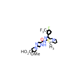 COC1(C(=O)O)CCN(c2cnc(C(=O)Nc3nc(-c4ccc(F)c(C(F)(F)F)c4)c(CN4CCC[C@H]4C)s3)cn2)CC1